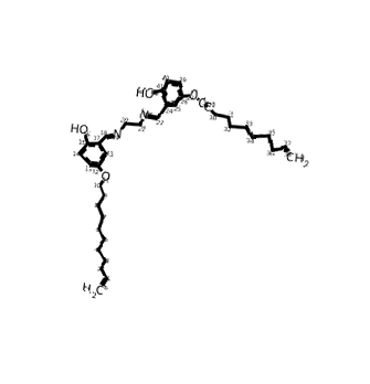 C=CCCCCCCCCCOc1ccc(O)c(C=NCCN=Cc2cc(OCCCCCCCCCC=C)ccc2O)c1